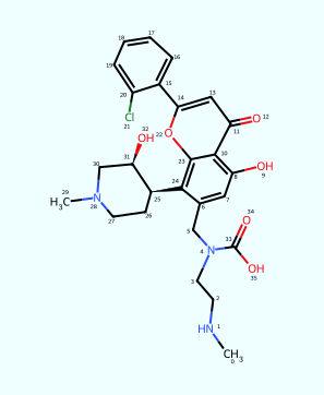 CNCCN(Cc1cc(O)c2c(=O)cc(-c3ccccc3Cl)oc2c1[C@H]1CCN(C)C[C@H]1O)C(=O)O